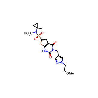 COCCn1cc(Cn2c(=O)[nH]c3sc(S(=O)(=O)N(C(=O)O)C4(C)CC4)cc3c2=O)cn1